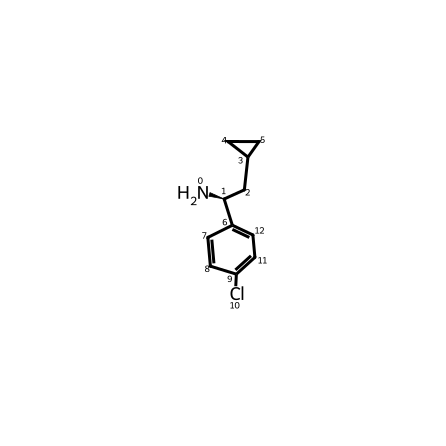 N[C@@H](CC1CC1)c1ccc(Cl)cc1